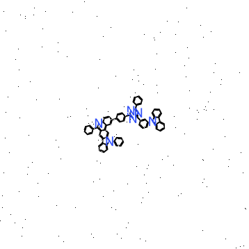 c1ccc(-c2nc(-c3ccc(-c4ccc5nc(-c6ccccc6)c6cc7c8ccccc8n(-c8ccccc8)c7cc6c5c4)cc3)nc(-c3cccc(-n4c5ccccc5c5ccccc54)c3)n2)cc1